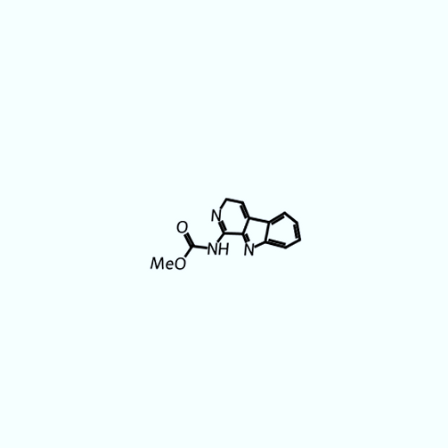 COC(=O)NC1=NCC=C2C1=Nc1ccccc12